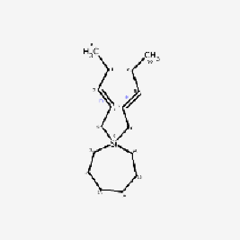 CC/C=C/C[Si]1(C/C=C/CC)CCCCCC1